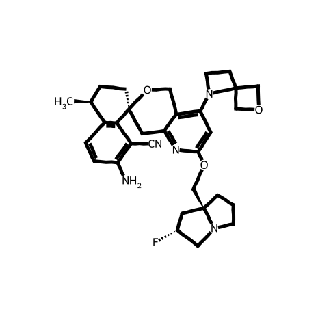 C[C@H]1CC[C@]2(Cc3nc(OC[C@@]45CCCN4C[C@H](F)C5)cc(N4CCC45COC5)c3CO2)c2c1ccc(N)c2C#N